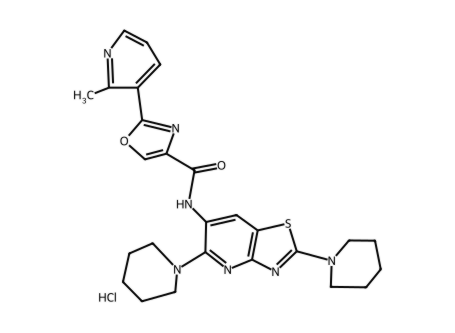 Cc1ncccc1-c1nc(C(=O)Nc2cc3sc(N4CCCCC4)nc3nc2N2CCCCC2)co1.Cl